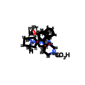 Cc1nc2ccccc2n1C1C[C@H]2CC[C@@H](C1)N2CCC1(c2cccc(OC(C)C)c2)CCN(C(=O)O)CC1